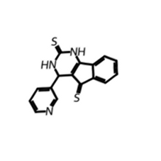 S=C1NC2=C(C(=S)c3ccccc32)C(c2cccnc2)N1